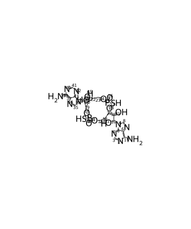 Nc1ncnc2c1ncn2[C@@H]1O[C@@H]2COP(=O)(S)OC3C(O)[C@@H](COP(=O)(S)OC2C1O)O[C@H]3n1cnc2c(N)ncnc21